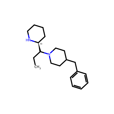 CCC([C@@H]1CCCCN1)N1CCC(Cc2ccccc2)CC1